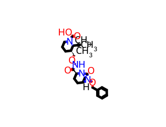 CC(C)(C)C1[C@H](CONC(=O)[C@@H]2CC[C@@H]3CN2C(=O)N3OCc2ccccc2)CCCN1C(=O)O